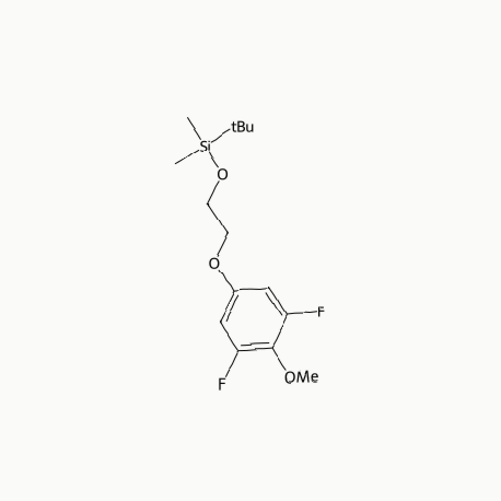 COc1c(F)cc(OCCO[Si](C)(C)C(C)(C)C)cc1F